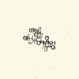 C/C(=C\P(C)(C)=O)[C@H]1O[C@@H](n2cc(C)c(=O)[nH]c2=O)CC1O[Si](C)(C)C(C)(C)C